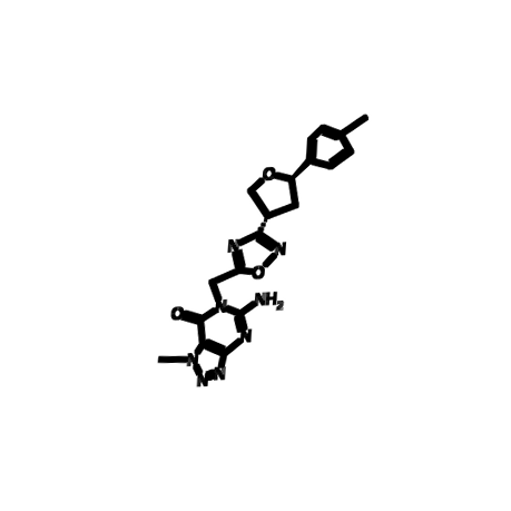 Cc1ccc([C@H]2C[C@H](c3noc(Cn4c(N)nc5nnn(C)c5c4=O)n3)CO2)cc1